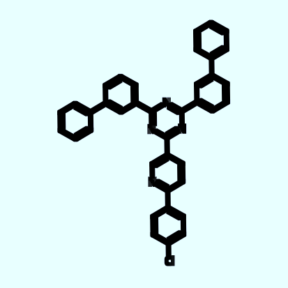 Clc1ccc(-c2ccc(-c3nc(-c4cccc(-c5ccccc5)c4)nc(-c4cccc(-c5ccccc5)c4)n3)cn2)cc1